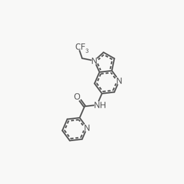 O=C(Nc1cnc2ccn(CC(F)(F)F)c2c1)c1ccccn1